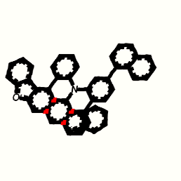 c1ccc(-c2ccc(-c3cccc4ccccc34)cc2N(c2ccccc2-c2cccc3oc4ccccc4c23)c2cccc3sc4ccccc4c23)cc1